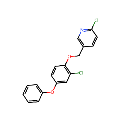 Clc1ccc(COc2ccc(Oc3ccccc3)cc2Cl)cn1